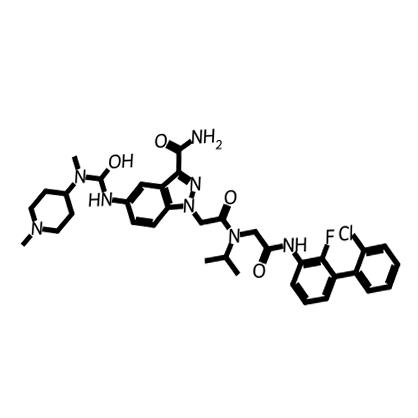 CC(C)N(CC(=O)Nc1cccc(-c2ccccc2Cl)c1F)C(=O)Cn1nc(C(N)=O)c2cc(NC(O)N(C)C3CCN(C)CC3)ccc21